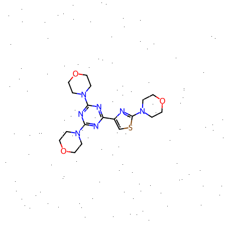 c1sc(N2CCOCC2)nc1-c1nc(N2CCOCC2)nc(N2CCOCC2)n1